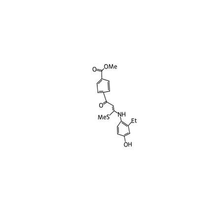 CCc1cc(O)ccc1N/C(=C/C(=O)c1ccc(C(=O)OC)cc1)SC